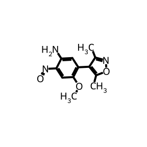 COc1cc(N=O)c(N)cc1-c1c(C)noc1C